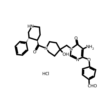 Cl.Nc1c(Oc2ccc(C=O)cc2)ncn(CC2(O)CCN(C(=O)[C@@H]3CCNC[C@H]3c3ccccc3)CC2)c1=O